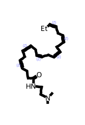 CC/C=C\C/C=C\C/C=C\C/C=C\C/C=C\C/C=C\CCC(=O)NCCN(C)C